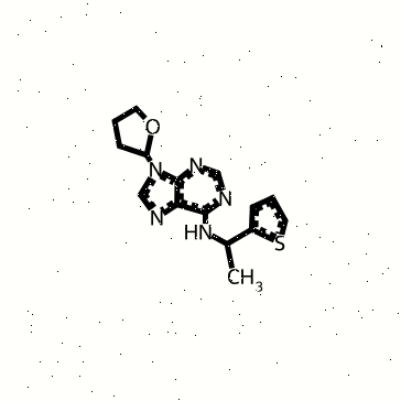 CC(Nc1ncnc2c1ncn2C1CCCO1)c1cccs1